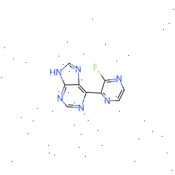 Fc1nccnc1-c1ncnc2[nH]cnc12